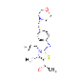 CCn1c(C)c(C(C)=O)sc1=Nc1ccc(CN2CCOCC2)cc1